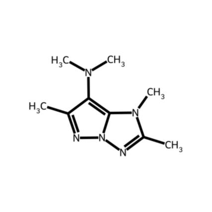 Cc1nn2nc(C)n(C)c2c1N(C)C